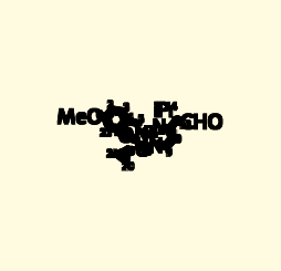 COc1ccc(CN(c2nccc(C(C=O)C(C)C)n2)S(=O)(=O)C2CC2)cc1